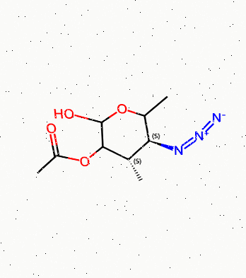 CC(=O)OC1C(O)OC(C)[C@@H](N=[N+]=[N-])[C@@H]1C